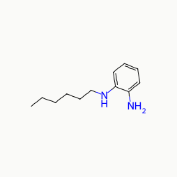 CCCCCCNc1ccccc1N